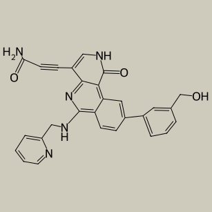 NC(=O)C#Cc1c[nH]c(=O)c2c1nc(NCc1ccccn1)c1ccc(-c3cccc(CO)c3)cc12